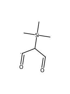 C[Si](C)(C)C([C]=O)C=O